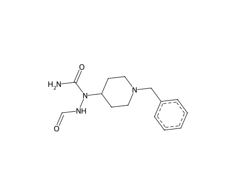 NC(=O)N(NC=O)C1CCN(Cc2ccccc2)CC1